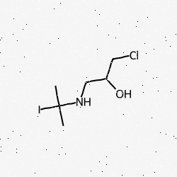 CC(C)(I)NCC(O)CCl